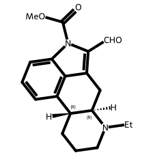 CCN1CCC[C@@H]2c3cccc4c3c(c(C=O)n4C(=O)OC)C[C@H]21